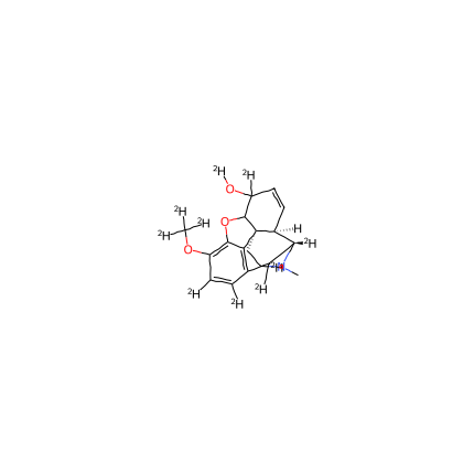 [2H]OC1([2H])C=C[C@@H]2[C@@]34CCN(C)[C@]2([2H])C([2H])([2H])c2c([2H])c([2H])c(OC([2H])([2H])[2H])c(c23)OC14